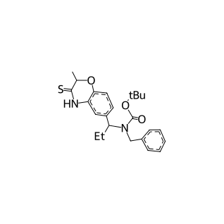 CCC(c1ccc2c(c1)NC(=S)C(C)O2)N(Cc1ccccc1)C(=O)OC(C)(C)C